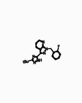 CC(C)(C)c1n[nH]c(-c2nn(Cc3ccccc3F)c3ncccc23)n1